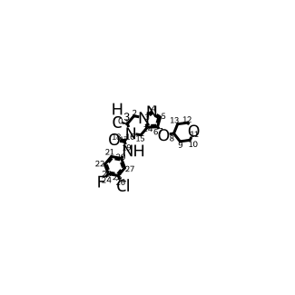 C[C@H]1Cn2ncc(OC3CCOCC3)c2CN1C(=O)Nc1ccc(F)c(Cl)c1